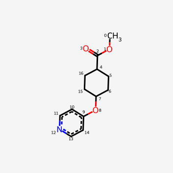 COC(=O)C1CCC(Oc2ccncc2)CC1